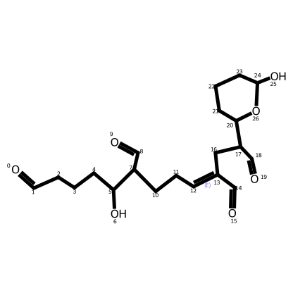 O=CCCCC(O)C(C=O)CC/C=C(/C=O)CC(C=O)C1CCCC(O)O1